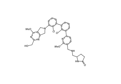 COc1nc(-c2cccc(-c3cccc(N4Cc5nc(CO)nc(OC)c5C4)c3Cl)c2Cl)ccc1CNCC1CCC(=O)N1